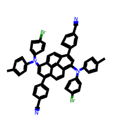 Cc1ccc(N(c2ccc(Br)cc2)c2cc(-c3ccc(C#N)cc3)c3ccc4c(N(c5ccc(C)cc5)c5ccc(Br)cc5)cc(-c5ccc(C#N)cc5)c5ccc2c3c54)cc1